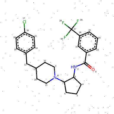 O=C(NC1CCCC1N1CCC(Cc2ccc(Cl)cc2)CC1)c1cccc(C(F)(F)F)c1